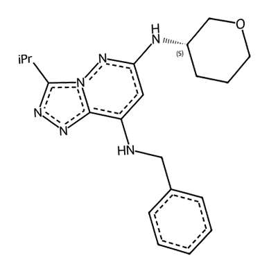 CC(C)c1nnc2c(NCc3ccccc3)cc(N[C@H]3CCCOC3)nn12